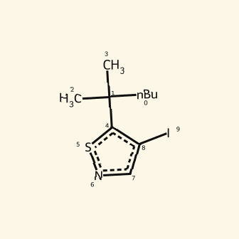 CCCCC(C)(C)c1sncc1I